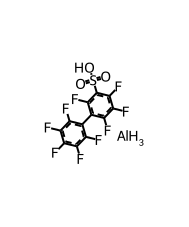 O=S(=O)(O)c1c(F)c(F)c(F)c(-c2c(F)c(F)c(F)c(F)c2F)c1F.[AlH3]